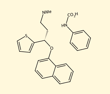 CNCC[C@H](Oc1cccc2ccccc12)c1cccs1.O=C(O)Nc1ccccc1